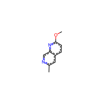 COc1ccc2cc(C)ncc2n1